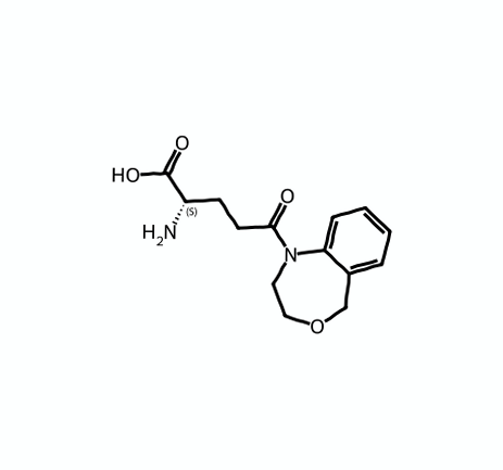 N[C@@H](CCC(=O)N1CCOCc2ccccc21)C(=O)O